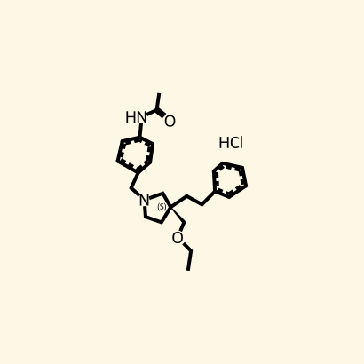 CCOC[C@@]1(CCc2ccccc2)CCN(Cc2ccc(NC(C)=O)cc2)C1.Cl